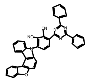 N#Cc1c(-c2nc(-c3ccccc3)nc(-c3ccccc3)n2)ccc(-n2c3ccccc3c3c4c(ccc32)oc2ccccc24)c1C#N